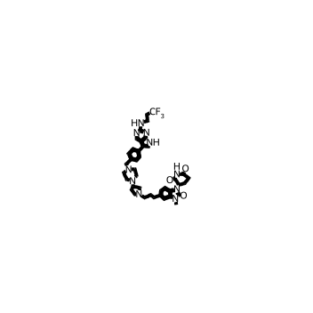 Cn1c(=O)n(C2CCC(=O)NC2=O)c2ccc(CCCN3CCC(N4CCN(Cc5ccc(-c6c[nH]c7nc(NCCC(F)(F)F)ncc67)cc5)CC4)C3)cc21